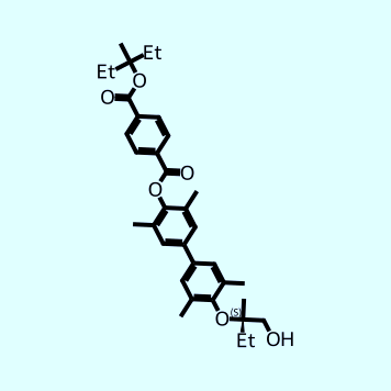 CCC(C)(CC)OC(=O)c1ccc(C(=O)Oc2c(C)cc(-c3cc(C)c(O[C@@](C)(CC)CO)c(C)c3)cc2C)cc1